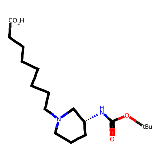 CC(C)(C)OC(=O)N[C@@H]1CCCN(CCCCCCCC(=O)O)C1